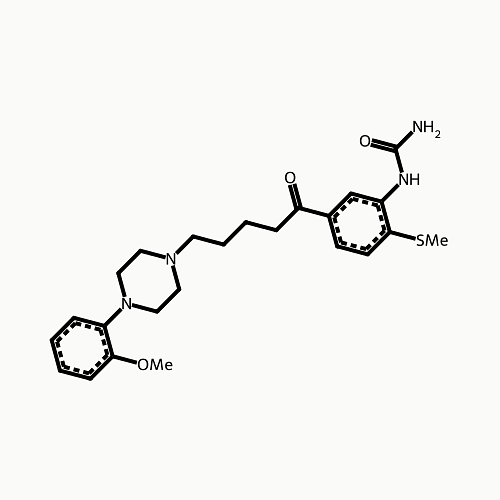 COc1ccccc1N1CCN(CCCCC(=O)c2ccc(SC)c(NC(N)=O)c2)CC1